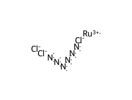 [Cl-].[Cl-].[Cl-].[N].[N].[N].[N].[N].[N].[Ru+3]